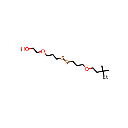 CCC(C)(C)CCOCCCSSCCCOCCO